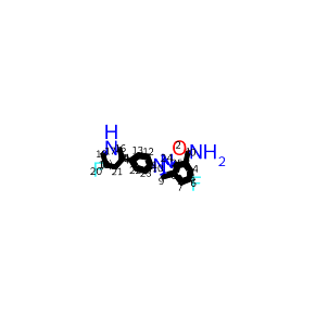 NC(=O)c1cc(F)cc2cn(-c3ccc([C@@H]4CNC[C@H](F)C4)cc3)nc12